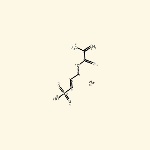 C=C(C)C(=O)OCC=CS(=O)(=O)O.[Na]